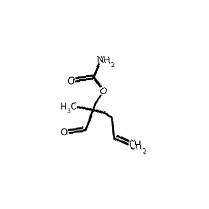 C=CCC(C)(C=O)OC(N)=O